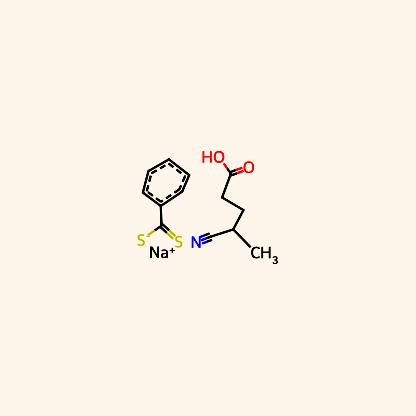 CC(C#N)CCC(=O)O.S=C([S-])c1ccccc1.[Na+]